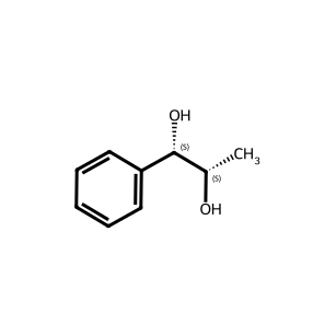 C[C@H](O)[C@@H](O)c1ccccc1